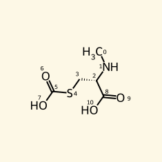 CN[C@@H](CSC(=O)O)C(=O)O